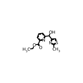 CCOC(=O)c1cccc(C(O)c2csc(C)n2)n1